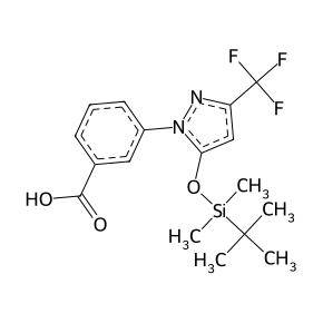 CC(C)(C)[Si](C)(C)Oc1cc(C(F)(F)F)nn1-c1cccc(C(=O)O)c1